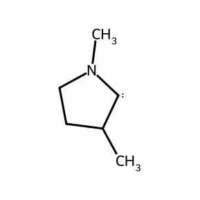 CC1[C]N(C)CC1